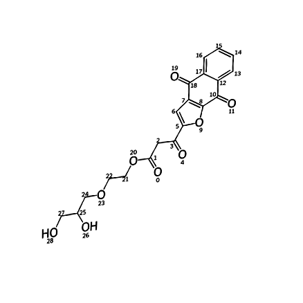 O=C(CC(=O)c1cc2c(o1)C(=O)c1ccccc1C2=O)OCCOCC(O)CO